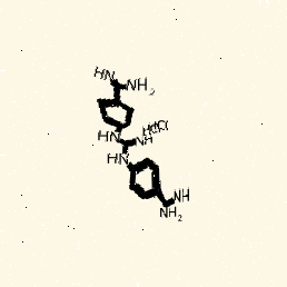 Cl.Cl.N=C(Nc1ccc(C(=N)N)cc1)Nc1ccc(C(=N)N)cc1